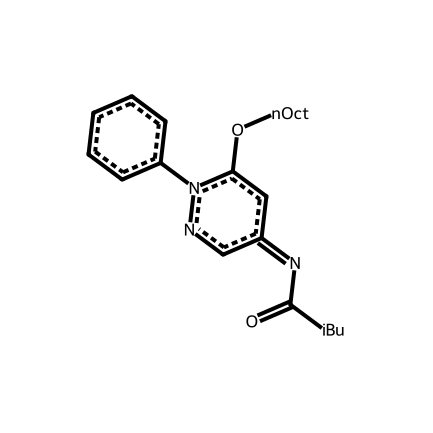 CCCCCCCCOc1cc(=NC(=O)C(C)CC)cnn1-c1ccccc1